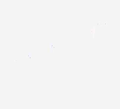 CCCCCCOc1ccccc1/C=C/C1=NCCN(C)c2ccccc21